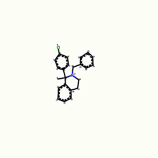 CC1(c2ccc(Cl)cc2)c2ccccc2CCN1Cc1ccccc1